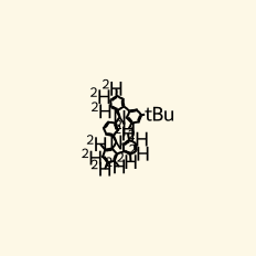 [2H]c1cc2c3cc(C(C)(C)C)cc([2H])c3n(-c3cccc(-n4c5c([2H])c([2H])c([2H])c([2H])c5c5c([2H])c([2H])c([2H])c([2H])c54)c3)c2c([2H])c1[2H]